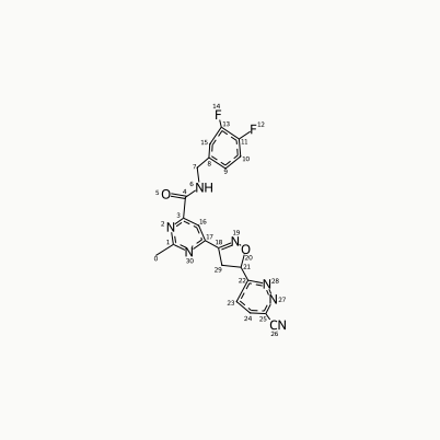 Cc1nc(C(=O)NCc2ccc(F)c(F)c2)cc(C2=NOC(c3ccc(C#N)nn3)C2)n1